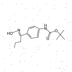 CCC/C(=N\O)c1ccc(NC(=O)OC(C)(C)C)cc1